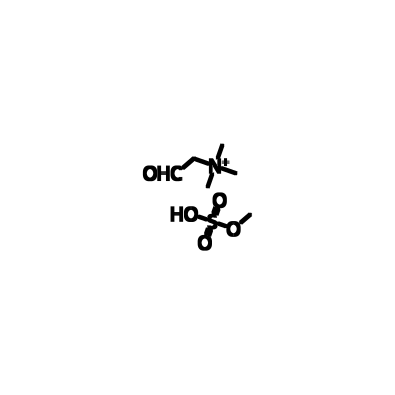 COS(=O)(=O)O.C[N+](C)(C)CC=O